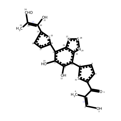 C/C(=C/O)C(=O)c1ccc(-c2c(O)c(O)c(-c3ccc(/C(O)=C(\C)C=O)s3)c3nsnc23)s1